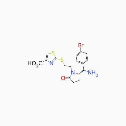 NC(c1ccc(Br)cc1)[C@H]1CCC(=O)N1CCSc1nc(C(=O)O)cs1